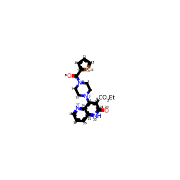 CCOC(=O)c1c(N2CCN(C(=O)c3cccs3)CC2)c2ncccc2[nH]c1=O